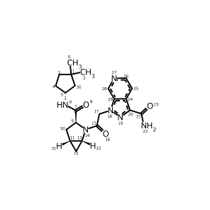 CC1(C)CC[C@@H](NC(=O)[C@@H]2C[C@H]3C[C@H]3N2C(=O)Cn2nc(C(N)=O)c3ccncc32)C1